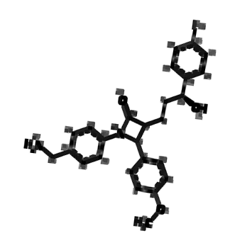 COc1ccc(C2C(CC[C@H](O)c3ccc(F)cc3)C(=O)N2c2ccc(CN)cc2)cc1